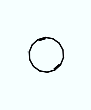 [CH]1CC=CCCCCC=CCCCC1